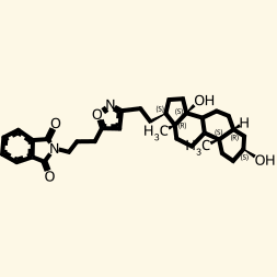 C[C@]12CC[C@H](O)C[C@H]1CCC1C2CC[C@]2(C)[C@@H](CCc3cc(CCCN4C(=O)c5ccccc5C4=O)on3)CC[C@]12O